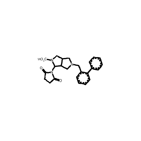 O=C(O)N1CC2CN(Cc3ccccc3-c3ccccc3)CC2C1N1C(=O)CCC1=O